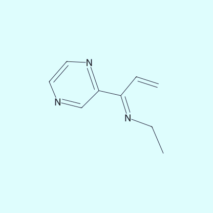 C=C/C(=N\CC)c1cnccn1